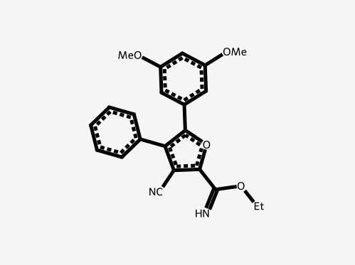 CCOC(=N)c1oc(-c2cc(OC)cc(OC)c2)c(-c2ccccc2)c1C#N